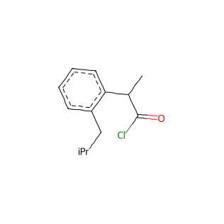 CC(C)Cc1ccccc1C(C)C(=O)Cl